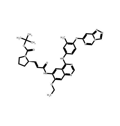 CCOc1cc2ncnc(Nc3ccc(Oc4cc5nncn5cn4)c(C)c3)c2cc1NC(=O)/C=C/[C@H]1CCCN1C(=O)OC(C)(C)C